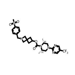 C[C@@H]1CN(c2ncc(C(F)(F)F)cn2)C[C@H](C)N1C(=O)OC1CC2(C1)CN(Cc1ccc(S(C)(=O)=O)cc1)C2